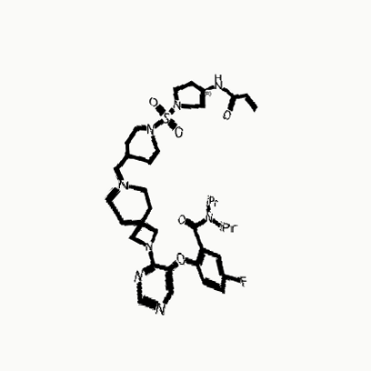 C=CC(=O)N[C@@H]1CCN(S(=O)(=O)N2CCC(CN3CCC4(CC3)CN(c3ncncc3Oc3ccc(F)cc3C(=O)N(C(C)C)C(C)C)C4)CC2)C1